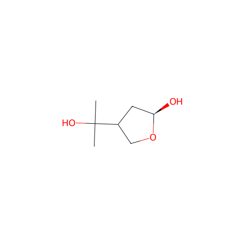 CC(C)(O)C1CO[C@H](O)C1